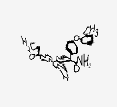 C=CC(=O)N1CCN([C@@H]2CCNc3c2nn(-c2ccc(Oc4ccccc4C)cc2)c3C(N)=O)CC1